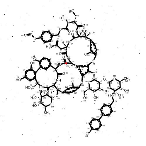 Cc1ccc2cc1-c1c(O)cc(O)cc1[C@H](C(=O)O)NC(=O)[C@H]1NC(=O)[C@@H]2NC(=O)[C@@H]2NC(=O)[C@H](CC(N)=O)NC(=O)[C@H](NC(=O)[C@@H](CC(C)C)N(C)C(=O)OCc3ccc(OP=O)cc3)[C@H](O)c3ccc(c(Cl)c3)Oc3cc2cc(c3O[C@@H]2O[C@H](CO)[C@@H](O)[C@H](O)[C@H]2O[C@H]2C[C@](C)(NCc3ccc(-c4ccc(Cl)cc4)cc3)[C@@H](O)[C@H](C)O2)Oc2ccc(cc2Cl)[C@H]1O[C@H]1C[C@](C)(N)[C@@H](O)[C@H](C)O1